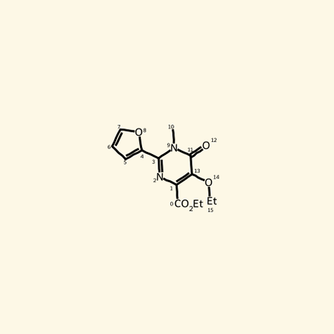 CCOC(=O)c1nc(-c2ccco2)n(C)c(=O)c1OCC